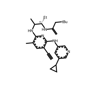 C#Cc1cc(C)c(NC(C)[C@H](CC)NC(=C)CC(C)(C)C)nc1Nc1cncc(C2CC2)c1